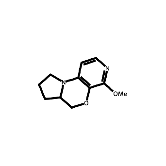 COc1nccc2c1OCC1CCCN21